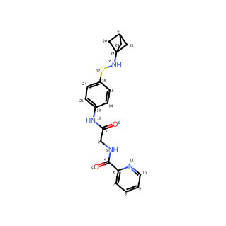 O=C(CNC(=O)c1ccccn1)Nc1ccc(SNC23CC(C2)C3)cc1